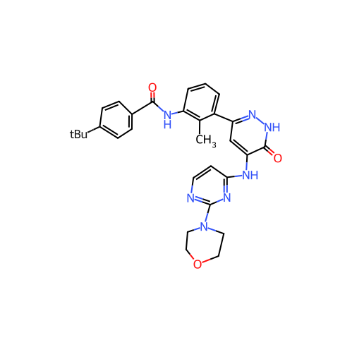 Cc1c(NC(=O)c2ccc(C(C)(C)C)cc2)cccc1-c1cc(Nc2ccnc(N3CCOCC3)n2)c(=O)[nH]n1